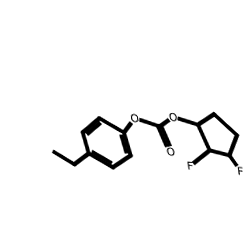 CCc1ccc(OC(=O)OC2CCC(F)C2F)cc1